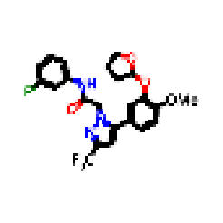 COc1ccc(-c2cc(C(F)(F)F)nn2CC(=O)Nc2cccc(F)c2)cc1OC1CCCO1